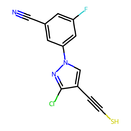 N#Cc1cc(F)cc(-n2cc(C#CS)c(Cl)n2)c1